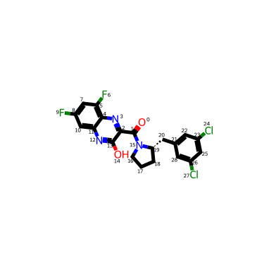 O=C(c1nc2c(F)cc(F)cc2nc1O)N1CCC[C@H]1Cc1cc(Cl)cc(Cl)c1